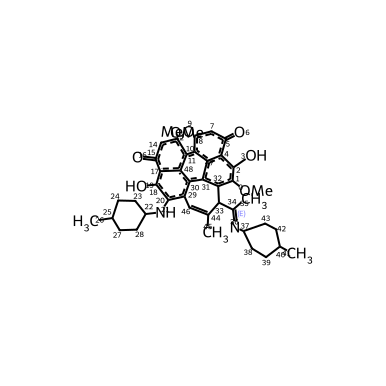 COc1c(O)c2c(=O)cc(OC)c3c4c(OC)cc(=O)c5c(O)c(NC6CCC(C)CC6)c6c(c(c1C(/C(C)=N/C1CCC(C)CC1)C(C)=C6)c23)c54